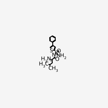 CC(C)C[C@H](N)C(=O)N=S(N)(=O)c1cc(-c2ccccc2)cs1